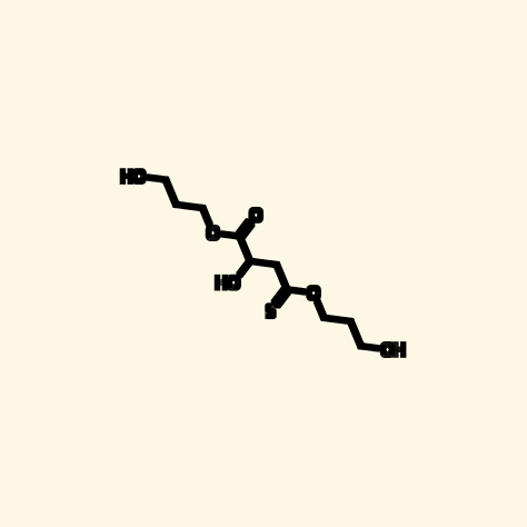 O=C(OCCCO)C(O)CC(=S)OCCCO